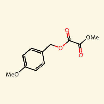 COC(=O)C(=O)OCc1ccc(OC)cc1